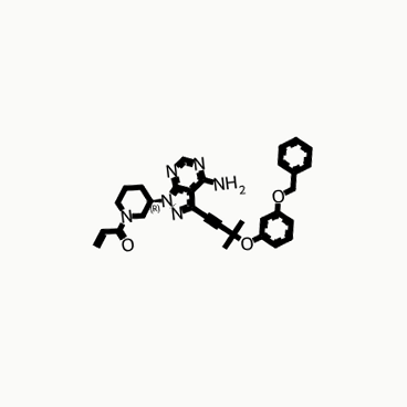 C=CC(=O)N1CCC[C@@H](n2nc(C#CC(C)(C)Oc3cccc(OCc4ccccc4)c3)c3c(N)ncnc32)C1